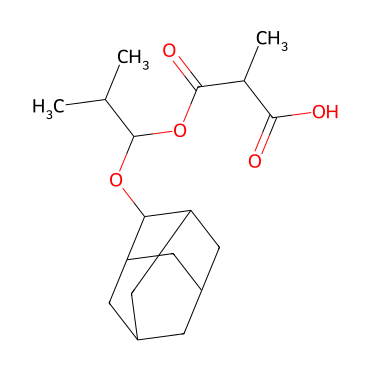 CC(C(=O)O)C(=O)OC(OC1C2CC3CC(C2)CC1C3)C(C)C